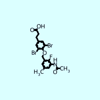 CC(=O)Nc1cc(C)cc(COc2c(Br)cc(CCC(=O)O)cc2Br)c1F